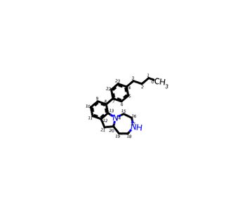 CCCCc1ccc(-c2cccc3c2N2CCNCCC2C3)cc1